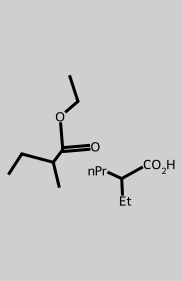 CCCC(CC)C(=O)O.CCOC(=O)C(C)CC